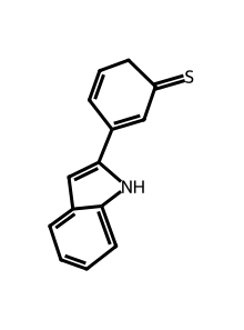 S=C1C=C(c2cc3ccccc3[nH]2)C=CC1